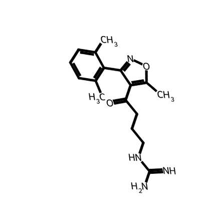 Cc1cccc(C)c1-c1noc(C)c1C(=O)CCCNC(=N)N